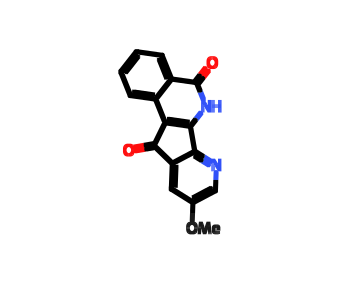 COc1cnc2c(c1)C(=O)c1c-2[nH]c(=O)c2ccccc12